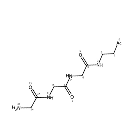 CC(=O)CCNC(=O)CNC(=O)CNC(=O)CN